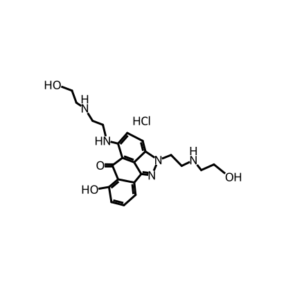 Cl.O=C1c2c(O)cccc2-c2nn(CCNCCO)c3ccc(NCCNCCO)c1c23